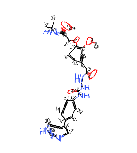 COc1cc(C(=O)NNC(=O)Nc2ccc(-c3cn[nH]c3)cc2)ccc1OCC(=O)NC(C)C